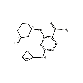 NC(=O)c1cnc(NC23CC(C2)C3)nc1N[C@@H]1CCC[C@H](O)C1